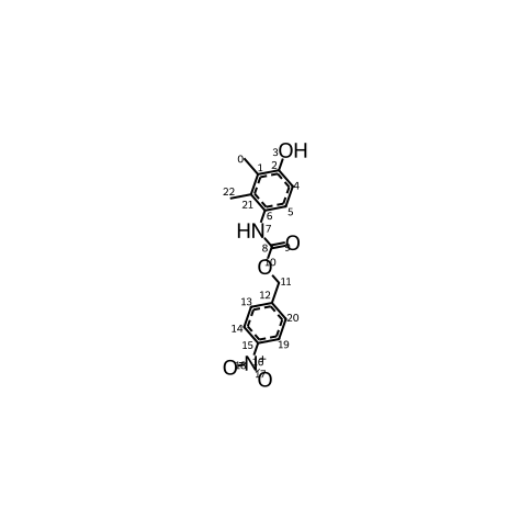 Cc1c(O)ccc(NC(=O)OCc2ccc([N+](=O)[O-])cc2)c1C